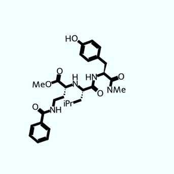 CNC(=O)[C@H](Cc1ccc(O)cc1)NC(=O)[C@H](CC(C)C)N[C@H](CCNC(=O)c1ccccc1)C(=O)OC